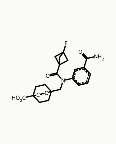 NC(=O)c1cccc(N(CC23CCC(C(=O)O)(CC2)CC3)C(=O)C23CC(F)(C2)C3)c1